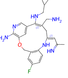 CC(=N)/C=C1/C/C(CN)=C(/NCC2CC2)c2cnc(N)c(c2)OCc2cc(F)ccc2N1